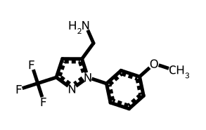 COc1cccc(-n2nc(C(F)(F)F)cc2CN)c1